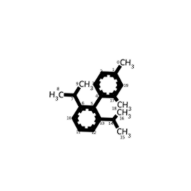 Cc1ccc(-c2c(C(C)C)cccc2C(C)C)c(C)c1